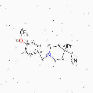 CC(C)C1(CC#N)CCN(Cc2ccc(OC(F)(F)F)cc2)CC1